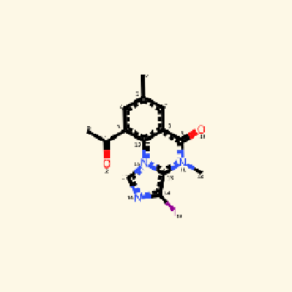 CC(=O)c1cc(C)cc2c(=O)n(C)c3c(I)ncn3c12